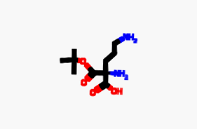 CC(C)(C)OC(=O)[C@](N)(CCCN)C(=O)O